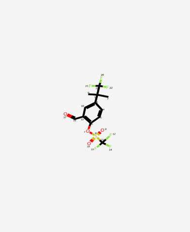 CC(C)(c1ccc(OS(=O)(=O)C(F)(F)F)c(C=O)c1)C(F)(F)F